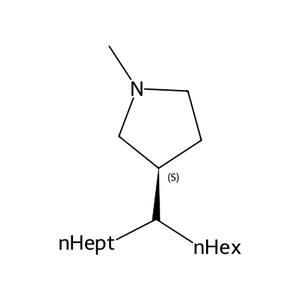 CCCCCCCC(CCCCCC)[C@@H]1CCN(C)C1